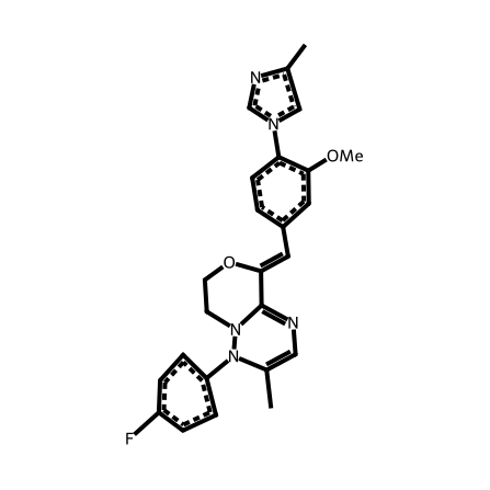 COc1cc(/C=C2\OCCN3C2=NC=C(C)N3c2ccc(F)cc2)ccc1-n1cnc(C)c1